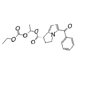 CCOC(=O)OC(C)OC(=O)[C@H]1CCn2c(C(=O)c3ccccc3)ccc21